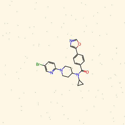 O=C(c1ccc(-c2cnco2)cc1)N(C1CC1)C1CCN(c2ccc(Br)cn2)CC1